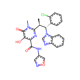 C[C@H](c1nc(C(=O)Nc2cnoc2)c(O)c(=O)n1C)[C@H](c1ccccc1Cl)n1cnc2ccccc21